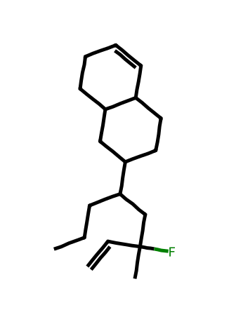 C=CC(C)(F)CC(CCC)C1CCC2C=CCCC2C1